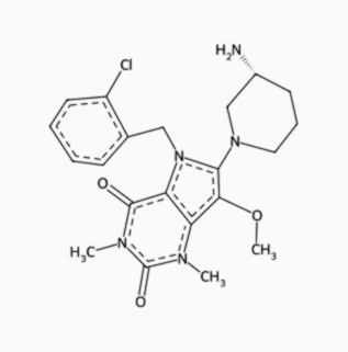 COc1c(N2CCC[C@@H](N)C2)n(Cc2ccccc2Cl)c2c(=O)n(C)c(=O)n(C)c12